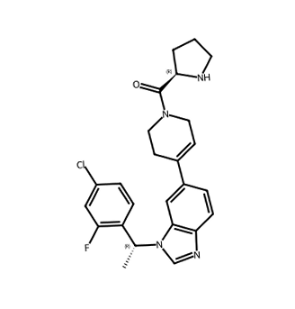 C[C@H](c1ccc(Cl)cc1F)n1cnc2ccc(C3=CCN(C(=O)[C@H]4CCCN4)CC3)cc21